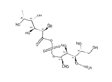 C[C@@H](O)[C@H](O)[C@H](O)[C@@H](O)C(=O)OS(=O)(=O)O[C@H](C=O)[C@@H](O)[C@H](OS(=O)(=O)O)[C@H](O)CO